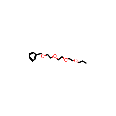 CCCOCCOCCOCCOCc1ccccc1